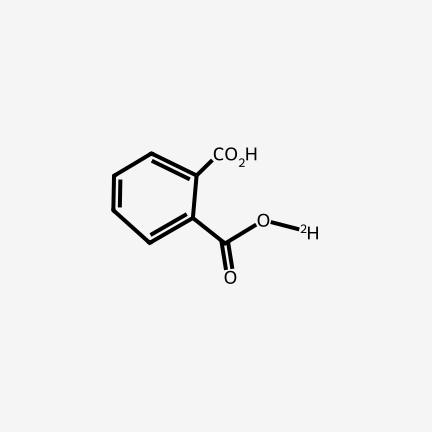 [2H]OC(=O)c1ccccc1C(=O)O